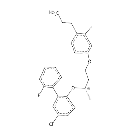 Cc1cc(OCC[C@H](C)Oc2ccc(Cl)cc2-c2ccccc2F)ccc1CCC(=O)O